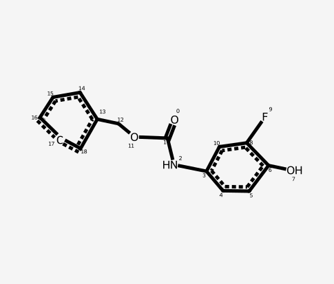 O=C(Nc1ccc(O)c(F)c1)OCc1ccccc1